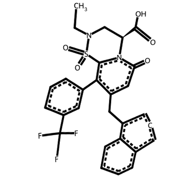 CCN1C[C@@H](C(=O)O)n2c(c(-c3cccc(C(F)(F)F)c3)c(Cc3cccc4ccccc34)cc2=O)S1(=O)=O